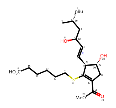 CCCC[C@@H](C)C[C@H](O)/C=C/[C@@H]1C(SCCCCCC(=O)O)=C(C(=O)OC)C[C@H]1O